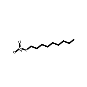 CCCCCCCCCO[SiH](Cl)Cl